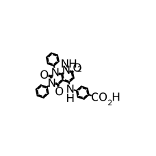 Nn1c(=O)cc(Nc2ccc(C(=O)O)cc2)c2c(=O)n(-c3ccccc3)c(=O)n(-c3ccccc3)c21